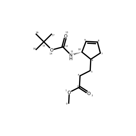 COC(=O)CCC1CC=C[C@H]1NC(=O)OC(C)(C)C